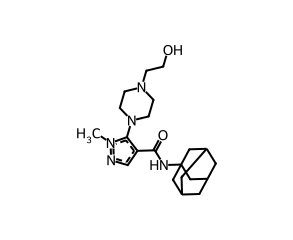 Cn1ncc(C(=O)NC23CC4CC(CC(C4)C2)C3)c1N1CCN(CCO)CC1